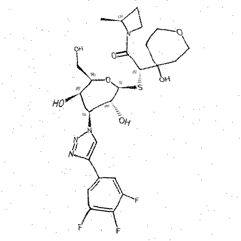 C[C@H]1CCN1C(=O)[C@@H](S[C@@H]1O[C@H](CO)[C@H](O)[C@H](n2cc(-c3cc(F)c(F)c(F)c3)nn2)[C@H]1O)C1(O)CCOCC1